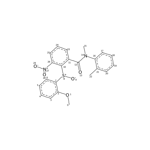 COc1ccccc1[S+]([O-])c1c(C(=O)N(C)c2ccccc2C)cccc1[N+](=O)[O-]